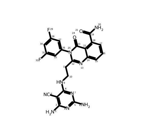 N#Cc1c(N)nc(N)nc1NCCc1nc2cccc(C(N)=O)c2c(=O)n1-c1cc(F)cc(F)c1